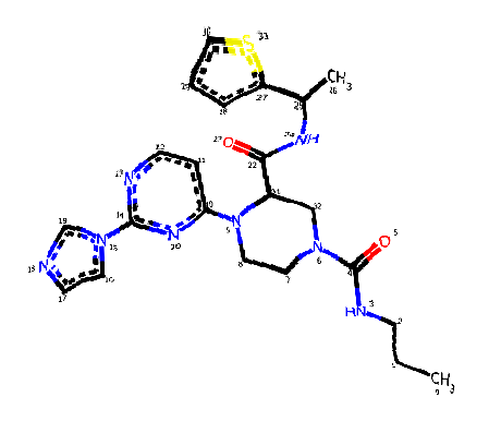 CCCNC(=O)N1CCN(c2ccnc(-n3ccnc3)n2)C(C(=O)NC(C)c2cccs2)C1